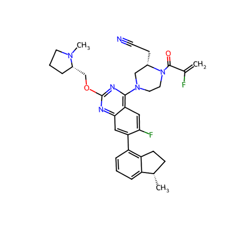 C=C(F)C(=O)N1CCN(c2nc(OC[C@@H]3CCCN3C)nc3cc(-c4cccc5c4CC[C@@H]5C)c(F)cc23)C[C@@H]1CC#N